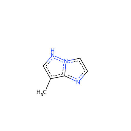 Cc1c[nH]n2ccnc12